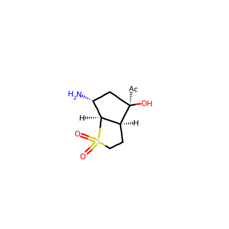 CC(=O)[C@@]1(O)C[C@@H](N)[C@H]2[C@@H]1CCS2(=O)=O